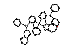 c1ccc(N(c2ccc3ccccc3c2)c2cccc3c2-c2ccccc2C32c3cccc(N(c4ccccc4)c4ccccc4)c3-c3c2sc2ccccc32)cc1